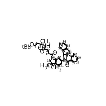 CC(C)(CCOC(C)(C)C)NC(=O)CCC(=O)N1CC(C)(C)c2ccc(NC(=O)c3cccnc3NCc3ccncc3)cc21